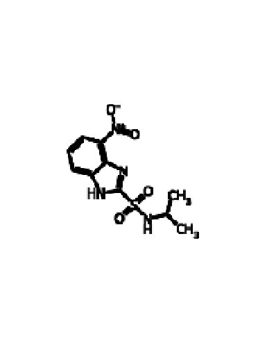 CC(C)NS(=O)(=O)c1nc2c([N+](=O)[O-])cccc2[nH]1